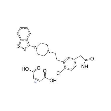 O=C(O)/C=C\C(=O)O.O=C1Cc2cc(CCN3CCN(c4nsc5ccccc45)CC3)c(Cl)cc2N1